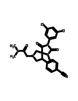 CN(C)C(=O)CN1CC(c2ccc(C#N)cc2)C2(C1)C(=O)N(c1cc(Cl)cc(Cl)c1)C(=O)N2C